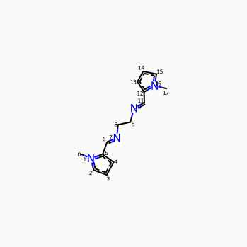 Cn1cccc1/C=N/CC/N=C/c1cccn1C